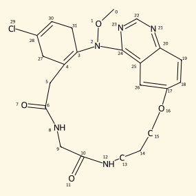 CON1C2=C(CC(=O)NCC(=O)NCCCOc3ccc4ncnc1c4c3)CC(Cl)=CC2